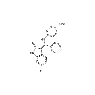 CSc1ccc(N/C(=C2\C(=O)Nc3cc(Cl)ccc32)c2ccccc2)cc1